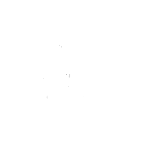 CN(Cc1ccccc1)CC(NC(=O)OCc1ccccc1)C(=O)O